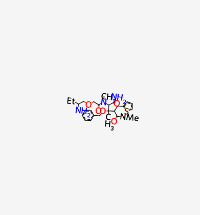 CCC(N)COCC(=O)N(C)C(C(N)=O)C(C)(OCc1ccccc1)C(Cc1cccs1)C(=O)NC